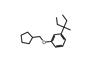 CCC(C)(CC)c1cccc(OCC2CCCC2)c1